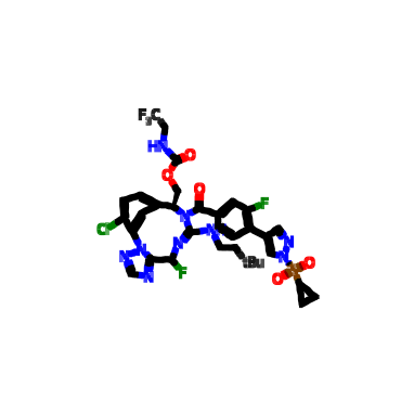 CC(C)(C)CCN/C1=N\C(F)c2ncnn2-c2cc(ccc2Cl)[C@@H](COC(=O)NCC(F)(F)F)N1C(=O)c1ccc(-c2cnn(S(=O)(=O)C3CC3)c2)c(F)c1